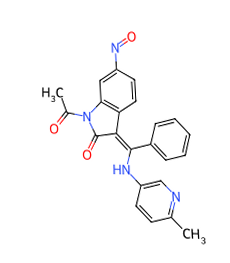 CC(=O)N1C(=O)/C(=C(\Nc2ccc(C)nc2)c2ccccc2)c2ccc(N=O)cc21